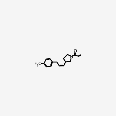 C=CC(=O)N1CCC(/C=C\Cc2ccc(C(F)(F)F)cc2)C1